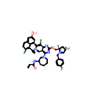 C#Cc1c(F)ccc2cc(O)cc(-c3ncc4c(N5CCCCC(NC(=O)C=C)C5)nc(OC[C@]5(C)C[C@@H](F)CN5Cc5ccc(F)cc5)nc4c3F)c12